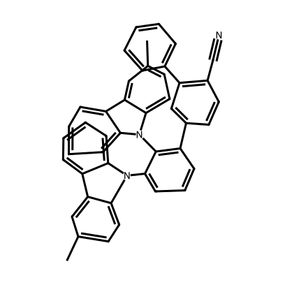 Cc1ccc2c(c1)c1ccccc1n2-c1cccc(-c2ccc(C#N)c(-c3ccccc3)c2)c1-n1c2ccccc2c2cc(C)ccc21